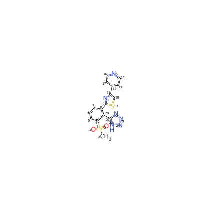 CS(=O)(=O)c1cccc(-c2nc(-c3ccncc3)cs2)c1-c1nnn[nH]1